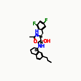 CCCc1ccc2c(c1)[C@@H](NC[C@@H](O)[C@@H](Cc1cc(F)cc(F)c1)NC(C)=O)CCC2